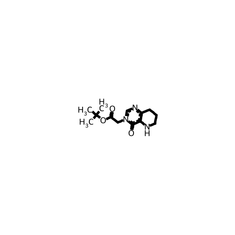 CC(C)(C)OC(=O)Cn1cnc2c(c1=O)NCCC2